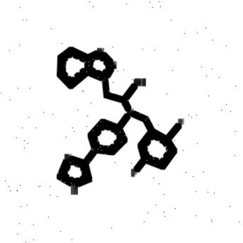 OC(Cn1nnc2ccccc21)N(Cc1cc(F)ccc1F)c1ccc(-c2c[nH]cn2)cc1